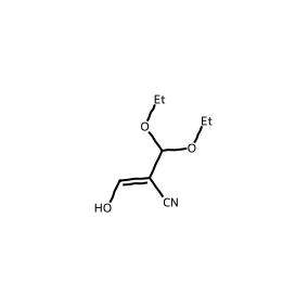 CCOC(OCC)/C(C#N)=C/O